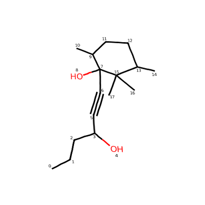 CCCC(O)C#CC1(O)C(C)CCC(C)C1(C)C